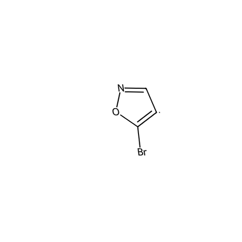 Brc1[c]cno1